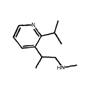 CNCC(C)c1cccnc1C(C)C